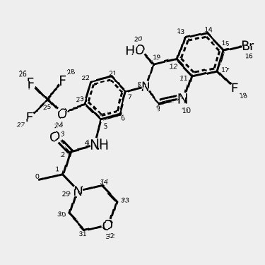 CC(C(=O)Nc1cc(N2C=Nc3c(ccc(Br)c3F)C2O)ccc1OC(F)(F)F)N1CCOCC1